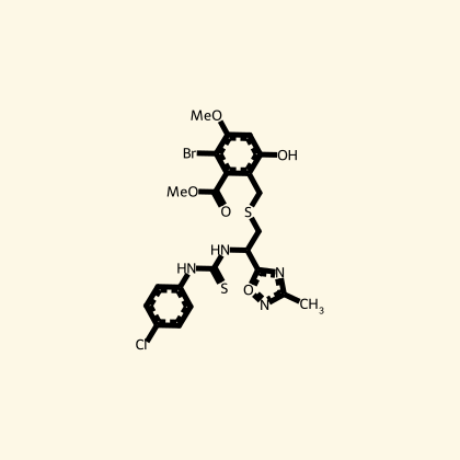 COC(=O)c1c(Br)c(OC)cc(O)c1CSCC(NC(=S)Nc1ccc(Cl)cc1)c1nc(C)no1